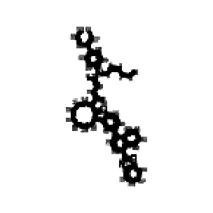 C/C=C\C=C/CN(/C(C)=C/C=C(\C)c1cccccccc2c1oc1ccc(-c3ccc(-c4nc5ccccc5o4)c4ccccc34)cc12)c1ccc(C(/C=C\C)=C/C)cc1